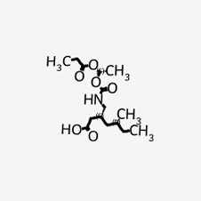 CCC(=O)O[C@H](C)OC(=O)NC[C@H](CC(=O)O)C[C@H](C)CC